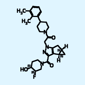 Cc1cccc(C2CCN(C(=O)Cn3nc(C(=O)N4CC[C@H](O)[C@H](F)C4)c4c3C[C@@H]3C[C@H]43)CC2)c1C